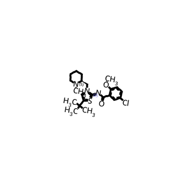 COc1ccc(Cl)cc1C(=O)/N=c1\sc(C(C)(C)C)cn1C[C@@H]1CCCCN1C